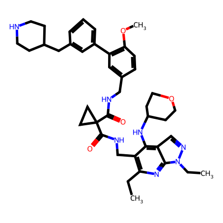 CCc1nc2c(cnn2CC)c(NC2CCOCC2)c1CNC(=O)C1(C(=O)NCc2ccc(OC)c(-c3cccc(CC4CCNCC4)c3)c2)CC1